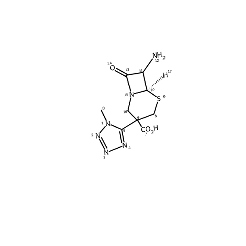 Cn1nnnc1C1(C(=O)O)CS[C@@H]2C(N)C(=O)N2C1